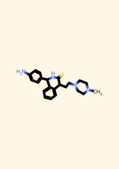 CN1CCN(CCC2C(=S)NC(c3ccc(N)cc3)c3ccccc32)CC1